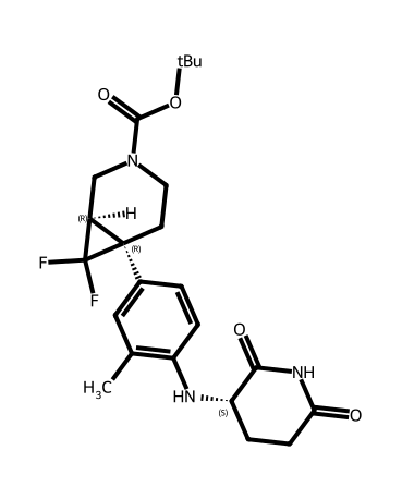 Cc1cc([C@@]23CCN(C(=O)OC(C)(C)C)C[C@@H]2C3(F)F)ccc1N[C@H]1CCC(=O)NC1=O